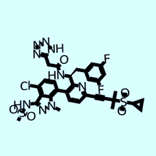 Cn1nc(NS(C)(=O)=O)c2c(Cl)ccc(-c3ccc(C#CC(C)(C)S(=O)(=O)C4CC4)nc3[C@H](Cc3cc(F)cc(F)c3)NC(=O)Cc3nnn[nH]3)c21